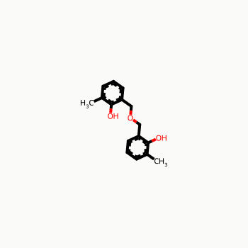 Cc1cccc(COCc2cccc(C)c2O)c1O